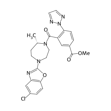 COC(=O)c1ccc(-n2nccn2)c(C(=O)N2CCN(c3nc4cc(Cl)ccc4o3)CC[C@@H]2C)c1